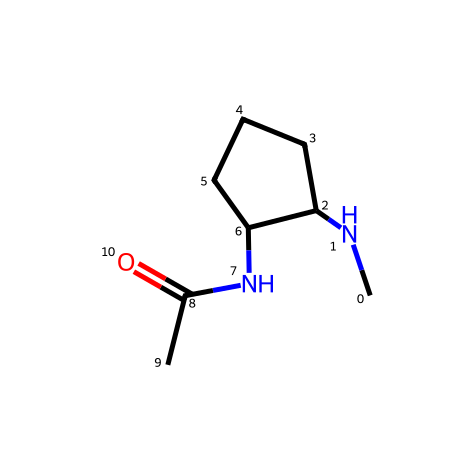 CNC1CCCC1NC(C)=O